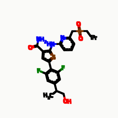 CC(C)CS(=O)(=O)Cc1cccc(Nc2sc(-c3c(F)cc(C(C)CO)cc3F)cc2C(N)=O)n1